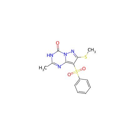 CSc1nn2c(=O)[nH]c(C)nc2c1S(=O)(=O)c1ccccc1